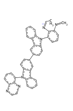 C=Nc1cccc(-n2c3ccccc3c3cc(-c4ccc5c(c4)c4ccccc4n5-c4cccc5nccnc45)ccc32)c1/N=C\C